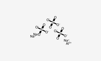 O=S(=O)([O-])[O-].O=S(=O)([O-])[O-].O=S(=O)([O-])[O-].[Al+3].[Na+].[Na+].[Na+]